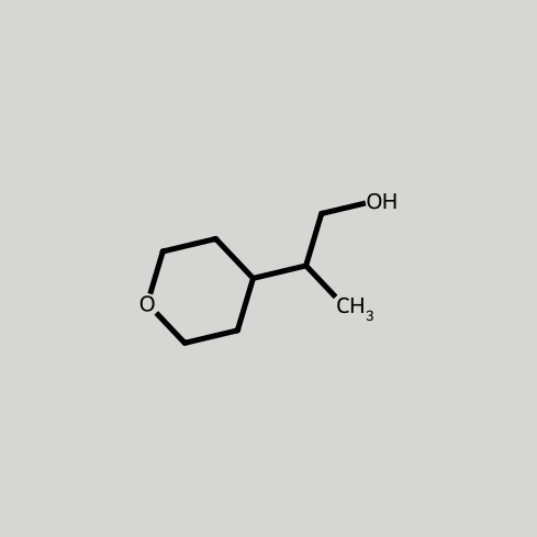 CC(CO)C1CCOCC1